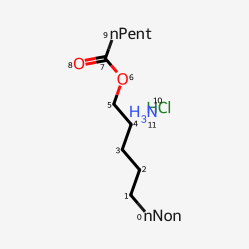 CCCCCCCCCCCCCCOC(=O)CCCCC.Cl.N